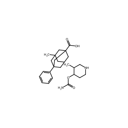 CC12CC3CC(C(=O)O)(C1)CC(c1ccccc1)(C3)C2.CC1CNCCC1OC(N)=O